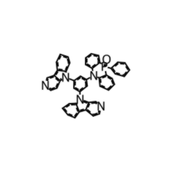 O=P1(c2ccccc2)c2ccccc2N(c2cc(-n3c4ccccc4c4cnccc43)cc(-n3c4ccccc4c4ccncc43)c2)c2ccccc21